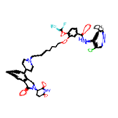 Cc1cncc(Cl)c1NC(=O)c1ccc(OC(F)F)c(OCCCCCCCN2CCC(c3cccc4c3CN(C3CCC(=O)NC3=O)C4=O)CC2)c1